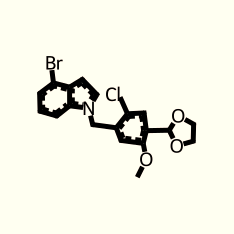 COc1cc(Cn2ccc3c(Br)cccc32)c(Cl)cc1C1OCCO1